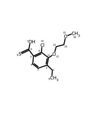 CCc1ccc(C(O)=S)c(Cl)c1OCCOC